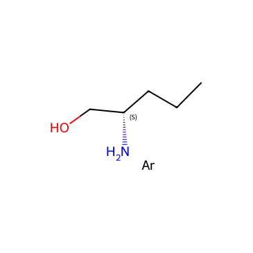 CCC[C@H](N)CO.[Ar]